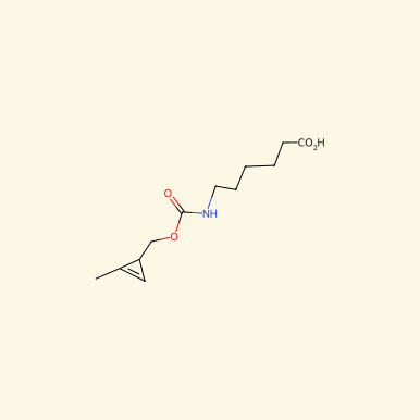 CC1=CC1COC(=O)NCCCCCC(=O)O